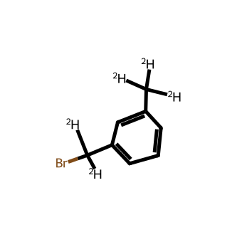 [2H]C([2H])([2H])c1cccc(C([2H])([2H])Br)c1